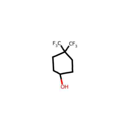 OC1CCC(C(F)(F)F)(C(F)(F)F)CC1